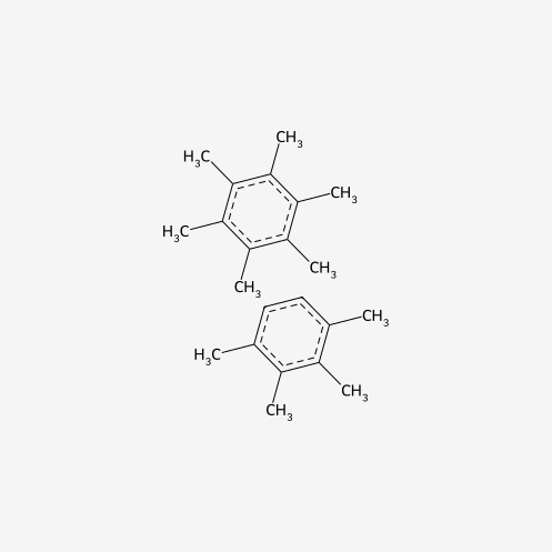 Cc1c(C)c(C)c(C)c(C)c1C.Cc1ccc(C)c(C)c1C